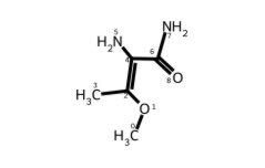 CO/C(C)=C(/N)C(N)=O